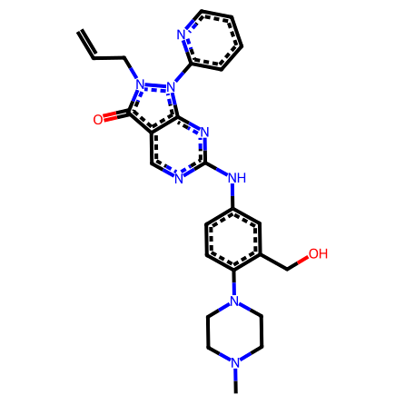 C=CCn1c(=O)c2cnc(Nc3ccc(N4CCN(C)CC4)c(CO)c3)nc2n1-c1ccccn1